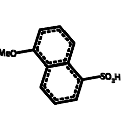 COc1cccc2c(S(=O)(=O)O)cccc12